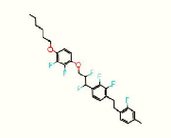 CCCCCCOc1ccc(OCC(F)C(F)c2ccc(CCc3ccc(C)cc3F)c(F)c2F)c(F)c1F